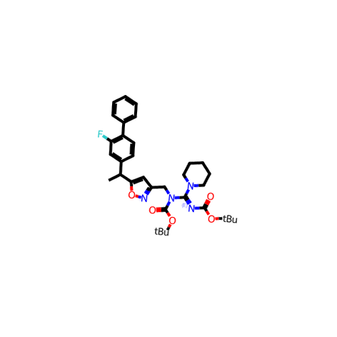 CC(c1ccc(-c2ccccc2)c(F)c1)c1cc(CN(C(=O)OC(C)(C)C)/C(=N/C(=O)OC(C)(C)C)N2CCCCC2)no1